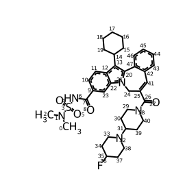 CN(C)S(=O)(=O)NC(=O)c1ccc2c(C3CCCCC3)c3n(c2c1)CC(C(=O)N1CCC(N2CCC(F)CC2)CC1)=Cc1ccccc1-3